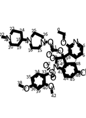 CCOc1ncccc1C1(OC(=O)ON2CCN(C3CCN(C)CC3)CC2)C(=O)N(S(=O)(=O)c2ccc(OC)cc2OC)c2ccc(Cl)cc21